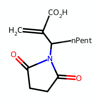 C=C(C(=O)O)C(CCCCC)N1C(=O)CCC1=O